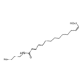 CCCCCCCC/C=C\CCCCCCCCCCCC(=O)NCC[CH2][Na]